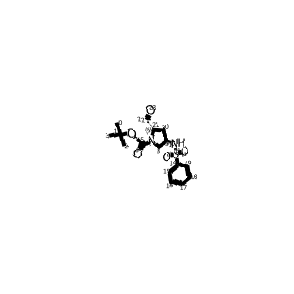 CC(C)(C)OC(=O)N1C[C@H](NS(=O)(=O)c2ccccc2)C[C@H]1C=O